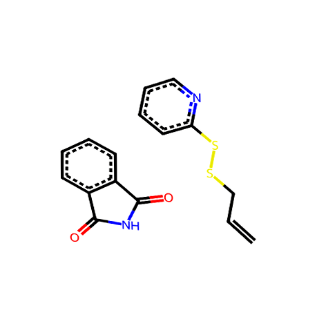 C=CCSSc1ccccn1.O=C1NC(=O)c2ccccc21